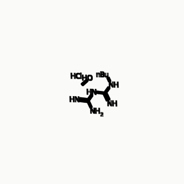 CCCCNC(=N)NC(=N)N.CO.Cl